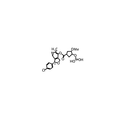 COC1CC(C(=O)Oc2c(C)ncc3c2CO[C@H]3c2ccc(Cl)cc2)CC1ON(O)O